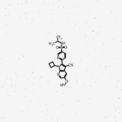 CCCOc1cnc2c(c1)c(C#N)c(-c1ccc(S(=O)(=O)N[C@@H](C)C(F)(F)F)cn1)n2C1CCC1